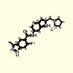 Cc1n[nH]c2cc(F)c(C(=O)Nc3cnc4cc(CN5CCC[C@@H]5C)[nH]c4c3)cc12